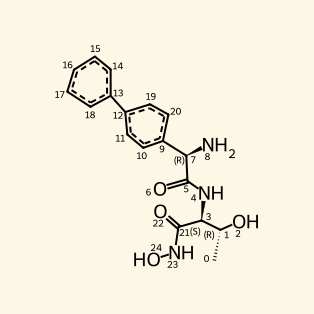 C[C@@H](O)[C@H](NC(=O)[C@H](N)c1ccc(-c2ccccc2)cc1)C(=O)NO